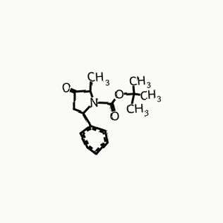 CC1C(=O)CC(c2ccccc2)N1C(=O)OC(C)(C)C